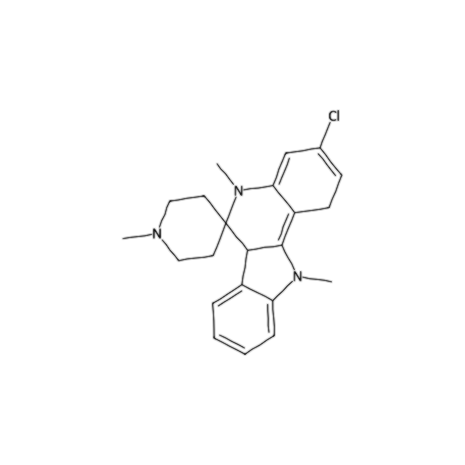 CN1CCC2(CC1)C1C(=C3CC=C(Cl)C=C3N2C)N(C)c2ccccc21